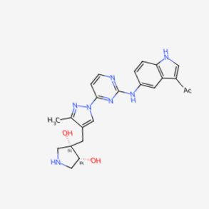 CC(=O)c1c[nH]c2ccc(Nc3nccc(-n4cc(C[C@]5(O)CNC[C@H]5O)c(C)n4)n3)cc12